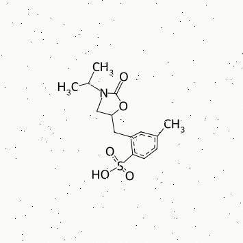 Cc1ccc(S(=O)(=O)O)c(CC2CN(C(C)C)C(=O)O2)c1